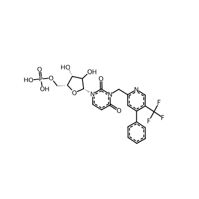 O=c1ccn([C@@H]2O[C@H](COP(=O)(O)O)[C@H](O)C2O)c(=O)n1Cc1cc(-c2ccccc2)c(C(F)(F)F)cn1